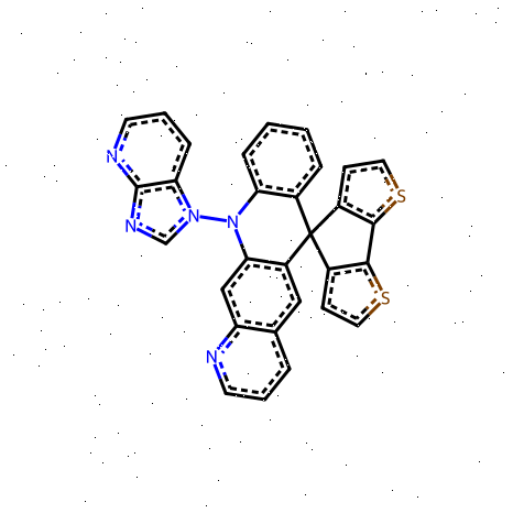 c1ccc2c(c1)N(n1cnc3ncccc31)c1cc3ncccc3cc1C21c2ccsc2-c2sccc21